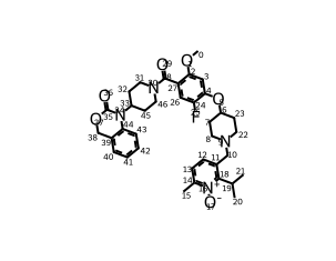 COc1cc(OC2CCN(Cc3ccc(C)[n+]([O-])c3C(C)C)CC2)c(F)cc1C(=O)N1CCC(N2C(=O)OCc3ccccc32)CC1